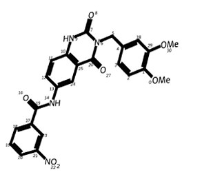 COc1ccc(Cn2c(=O)[nH]c3ccc(NC(=O)c4cccc([N+](=O)[O-])c4)cc3c2=O)cc1OC